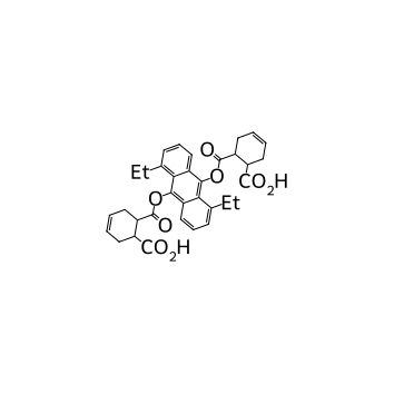 CCc1cccc2c(OC(=O)C3CC=CCC3C(=O)O)c3c(CC)cccc3c(OC(=O)C3CC=CCC3C(=O)O)c12